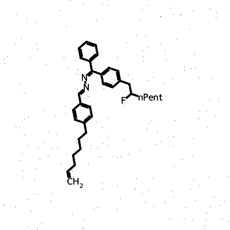 C=CCCCCCc1ccc(C=NN=C(c2ccccc2)c2ccc(CC(F)CCCCC)cc2)cc1